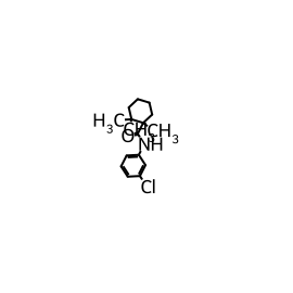 CC1(C)CCCCC1(C)C(=O)Nc1cccc(Cl)c1